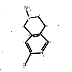 BN1CCc2cnc(Cl)cc2C1